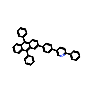 c1ccc(-c2ccc(-c3ccc(-c4ccc5c(-c6ccccc6)c6ccccc6c(-c6ccccc6)c5c4)cc3)cn2)cc1